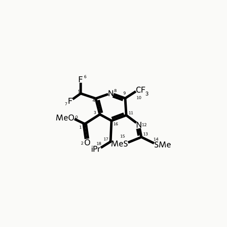 COC(=O)c1c(C(F)F)nc(C(F)(F)F)c(N=C(SC)SC)c1CC(C)C